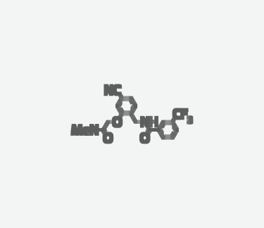 CNC(=O)COc1cc(C#N)ccc1CNC(=O)c1cccc(C(F)(F)F)c1